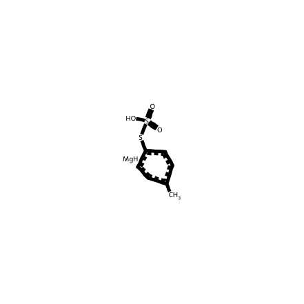 Cc1ccc(SS(=O)(=O)O)cc1.[MgH2]